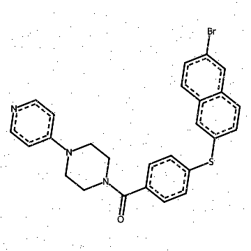 O=C(c1ccc(Sc2ccc3cc(Br)ccc3c2)cc1)N1CCN(c2ccncc2)CC1